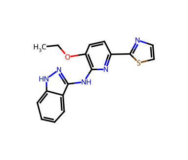 CCOc1ccc(-c2nccs2)nc1Nc1n[nH]c2ccccc12